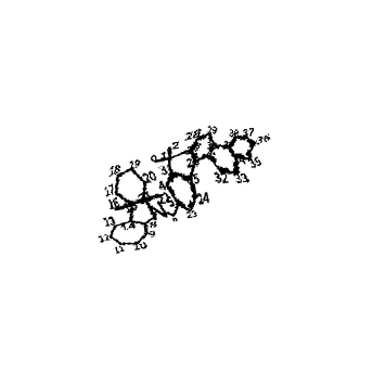 CC1(C)c2cc(CN3C4CCCCCC4C4(C)CCCCC34C)ccc2-c2c1ccc1c2ccc2ccccc21